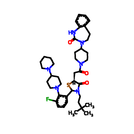 CC(C)(C)CCN1C(=O)[C@H](CC(=O)N2CCC(N3CCc4ccccc4NC3=O)CC2)SC1c1cccc(F)c1N1CCC(N2CCCCC2)CC1